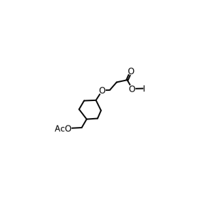 CC(=O)OCC1CCC(OCCC(=O)OI)CC1